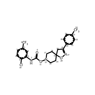 O=C(Nc1cc(C(F)(F)F)ccc1Cl)ON1CCC2(CC1)CC(c1ccc(C(F)(F)F)cc1)=NO2